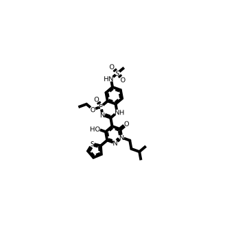 CCOP1(=O)N=C(c2c(O)c(-c3cccs3)nn(CCC(C)C)c2=O)Nc2ccc(NS(C)(=O)=O)cc21